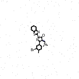 Cc1ccc(C2=NN(c3nc4ccccc4s3)C(=O)/C2=C/N(C)C)cc1Br